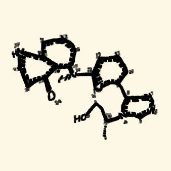 C[C@H](CO)n1cnnc1-c1cccc(Nc2cccc3[nH]ccc(=O)c23)n1